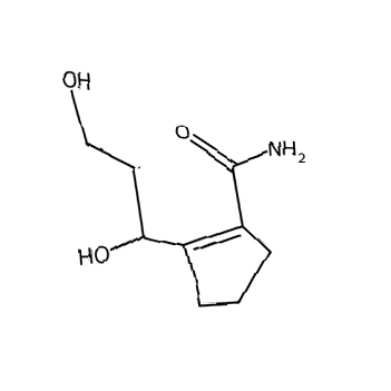 NC(=O)C1=C(C(O)[CH]CO)CCC1